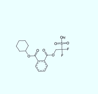 O=C(OCC(F)(F)S(=O)(=O)O)c1ccccc1C(=O)OC1CCCCC1